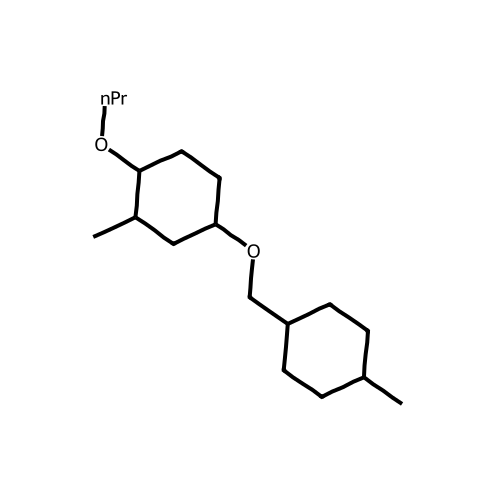 CCCOC1CCC(OCC2CCC(C)CC2)CC1C